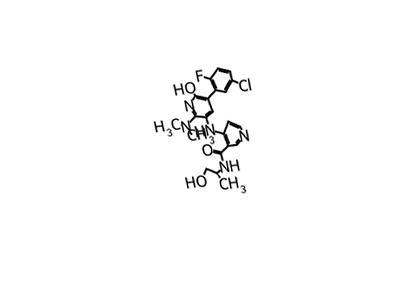 C[C@@H](CO)NC(=O)c1cnccc1Nc1cc(-c2cc(Cl)ccc2F)c(O)nc1N(C)C